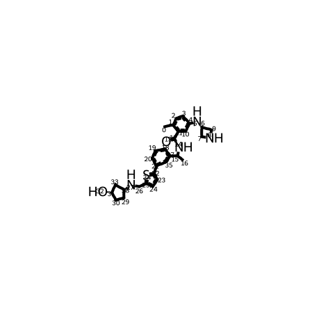 Cc1ccc(NC2CNC2)cc1C(=O)NC(C)c1cccc(-c2ccc(CN[C@H]3CC[C@H](O)C3)s2)c1